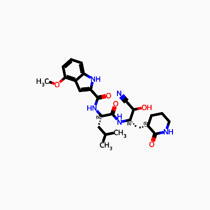 COc1cccc2[nH]c(C(=O)N[C@@H](CC(C)C)C(=O)N[C@@H](C[C@@H]3CCCNC3=O)C(O)C#N)cc12